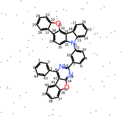 c1ccc(-c2nc(-c3cccc(-n4c5ccccc5c5c6oc7ccccc7c6ccc54)c3)nc3oc4ccccc4c23)cc1